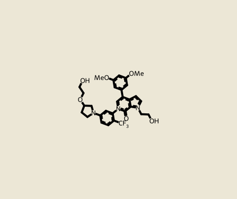 COc1cc(OC)cc(-c2cn(-c3cc(N4CCC(OCCO)C4)ccc3C(F)(F)F)c(=O)c3c2ccn3CCO)c1